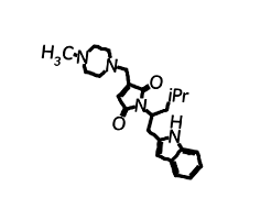 CC(C)CC(Cc1cc2ccccc2[nH]1)N1C(=O)C=C(CN2CCN(C)CC2)C1=O